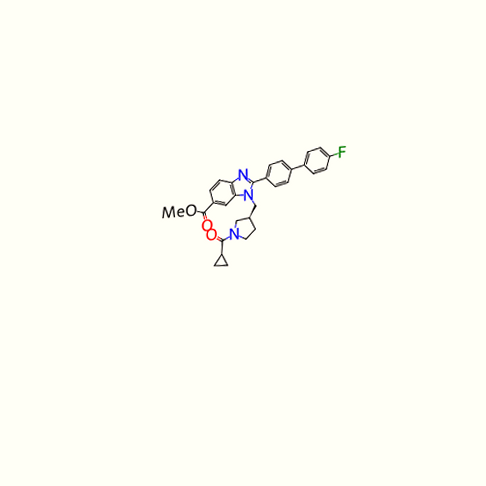 COC(=O)c1ccc2nc(-c3ccc(-c4ccc(F)cc4)cc3)n(C[C@H]3CCN(C(=O)C4CC4)C3)c2c1